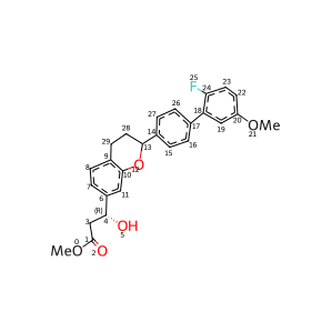 COC(=O)C[C@@H](O)c1ccc2c(c1)OC(c1ccc(-c3cc(OC)ccc3F)cc1)CC2